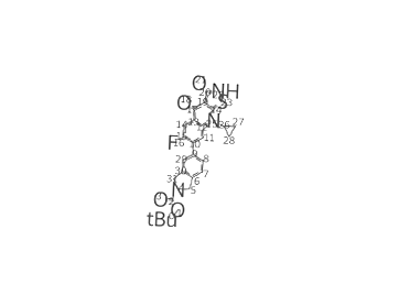 CC(C)(C)OC(=O)N1Cc2ccc(-c3cc4c(cc3F)c(=O)c3c(=O)[nH]sc3n4C3CC3)cc2C1